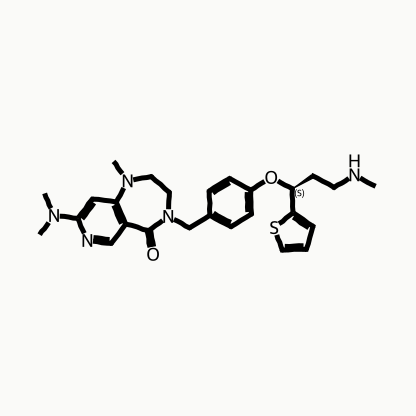 CNCC[C@H](Oc1ccc(CN2CCN(C)c3cc(N(C)C)ncc3C2=O)cc1)c1cccs1